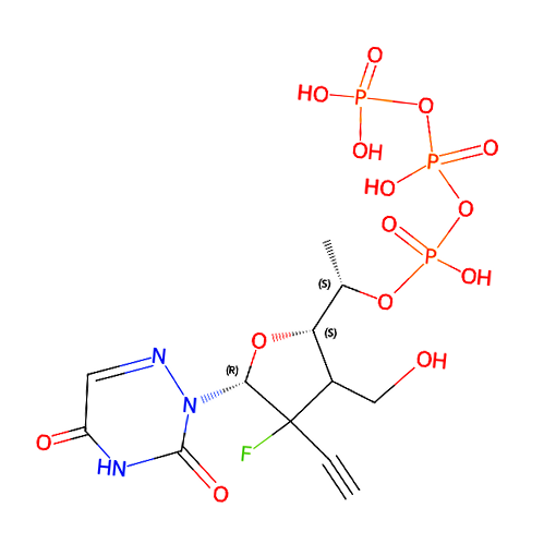 C#CC1(F)C(CO)[C@@H]([C@H](C)OP(=O)(O)OP(=O)(O)OP(=O)(O)O)O[C@H]1n1ncc(=O)[nH]c1=O